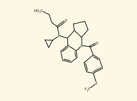 O=C(O)CCC(=O)N(C1CC1)C1c2ccccc2N(C(=O)c2ccc(SC(F)(F)F)cc2)C2CCCC21